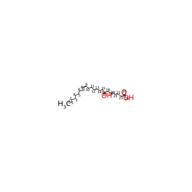 CCCCCCCC/C=C\CCCCCCC(O)CCCCCCC(=O)O